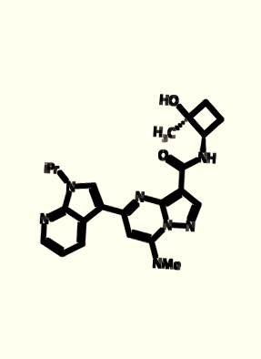 CNc1cc(-c2cn(C(C)C)c3ncccc23)nc2c(C(=O)N[C@@H]3CC[C@]3(C)O)cnn12